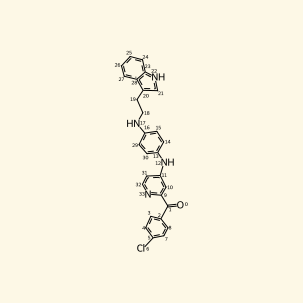 O=C(c1ccc(Cl)cc1)c1cc(Nc2ccc(NCCc3c[nH]c4ccccc34)cc2)ccn1